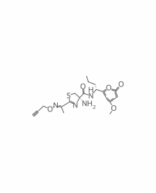 C#CCO/N=C(\C)C1=N[C@](N)(C(=O)N[C@H](CCC)c2cc(OC)cc(=O)o2)CS1